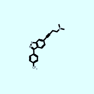 CN(C)CCC#Cc1ccc2c(-c3ccc(C(F)(F)F)cc3)nsc2c1